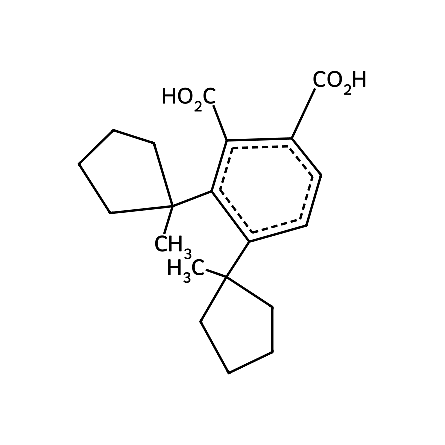 CC1(c2ccc(C(=O)O)c(C(=O)O)c2C2(C)CCCC2)CCCC1